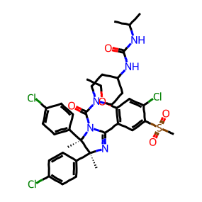 CCOc1cc(Cl)c(S(C)(=O)=O)cc1C1=N[C@@](C)(c2ccc(Cl)cc2)[C@@](C)(c2ccc(Cl)cc2)N1C(=O)N1CCC(NC(=O)NC(C)C)CC1